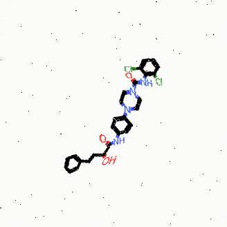 O=C(Nc1ccc(N2CCN(C(=O)Nc3c(Cl)cccc3Cl)CC2)cc1)C(O)CCc1ccccc1